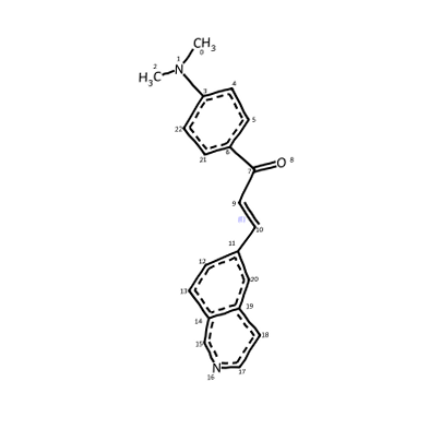 CN(C)c1ccc(C(=O)/C=C/c2ccc3cnccc3c2)cc1